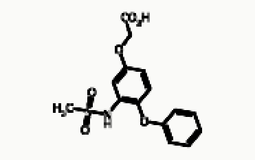 CS(=O)(=O)Nc1cc(OCC(=O)O)ccc1Oc1ccccc1